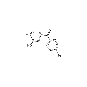 Cc1ccc(C(=O)c2ccc(O)cc2)cc1O